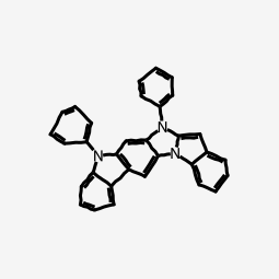 c1ccc(-n2c3ccccc3c3cc4c(cc32)n(-c2ccccc2)c2cc3ccccc3n42)cc1